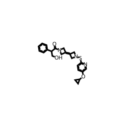 O=C(C(CO)c1ccccc1)N1CC(=C2CN(Sc3ccc(OC4CC4)cn3)C2)C1